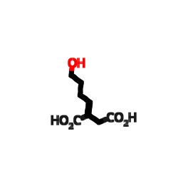 O=C(O)CC(=CCCCO)C(=O)O